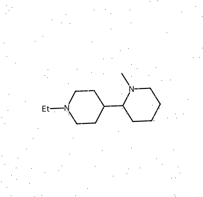 CCN1CCC(C2C[CH]CCN2C)CC1